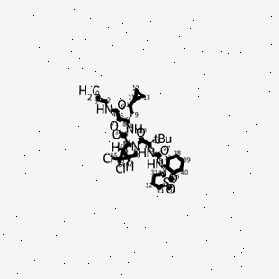 C=CCNC(=O)C(=O)[C@H](CCC1CC1)NC(=O)[C@@H]1[C@@H]2[C@H](CN1C(=O)[C@@H](NC(=O)NC1([C@H]3CCCS3(=O)=O)CCCCC1)C(C)(C)C)C2(Cl)Cl